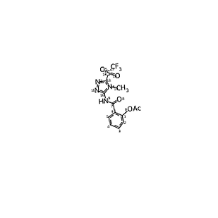 CC(=O)Oc1ccccc1C(=O)Nc1nnc(S(=O)(=O)C(F)(F)F)n1C